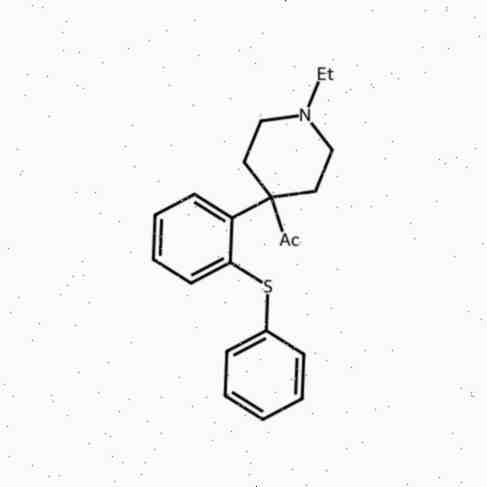 CCN1CCC(C(C)=O)(c2ccccc2Sc2ccccc2)CC1